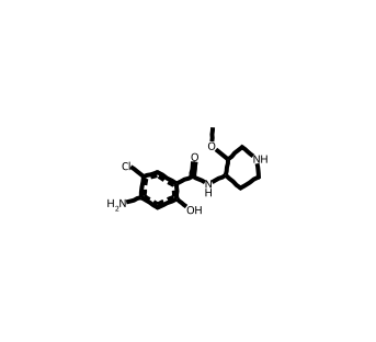 COC1CNCCC1NC(=O)c1cc(Cl)c(N)cc1O